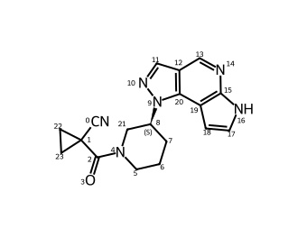 N#CC1(C(=O)N2CCC[C@H](n3ncc4cnc5[nH]ccc5c43)C2)CC1